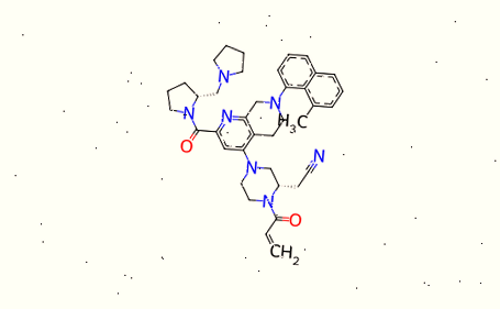 C=CC(=O)N1CCN(c2cc(C(=O)N3CCC[C@@H]3CN3CCCC3)nc3c2CCN(c2cccc4cccc(C)c24)C3)C[C@@H]1CC#N